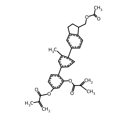 C=C(C)C(=O)Oc1ccc(-c2ccc(-c3ccc4c(c3)CCC4COC(C)=O)c(C)c2)c(OC(=O)C(=C)C)c1